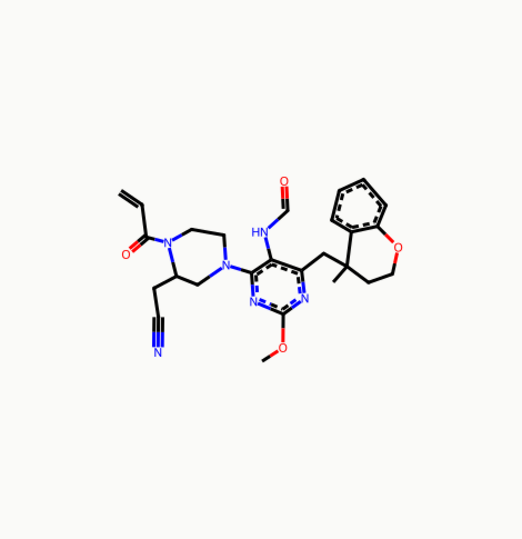 C=CC(=O)N1CCN(c2nc(OC)nc(CC3(C)CCOc4ccccc43)c2NC=O)CC1CC#N